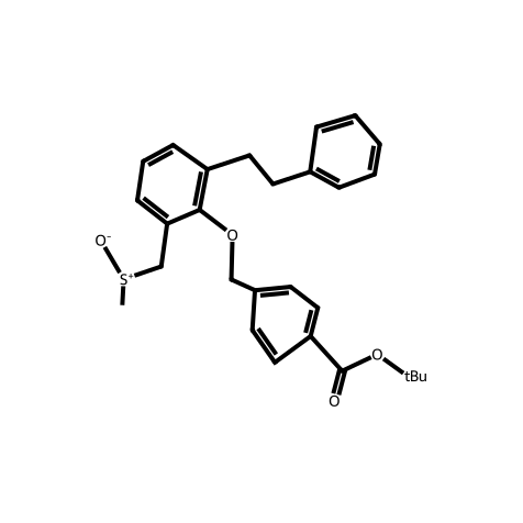 C[S+]([O-])Cc1cccc(CCc2ccccc2)c1OCc1ccc(C(=O)OC(C)(C)C)cc1